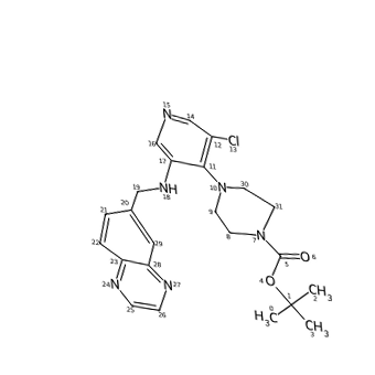 CC(C)(C)OC(=O)N1CCN(c2c(Cl)cncc2NCc2ccc3nccnc3c2)CC1